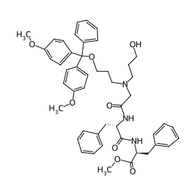 COC(=O)[C@H](Cc1ccccc1)NC(=O)[C@H](Cc1ccccc1)NC(=O)CN(CCCO)CCCOC(c1ccccc1)(c1ccc(OC)cc1)c1ccc(OC)cc1